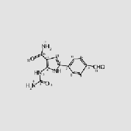 NC(=O)Nc1[nH]c(-c2ccc(C=O)cc2)cc1C(N)=O